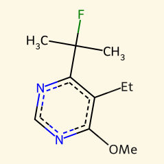 CCc1c(OC)ncnc1C(C)(C)F